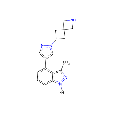 [2H]n1nc(C)c2c(-c3cnn(C4CC5(CNC5)C4)c3)cccc21